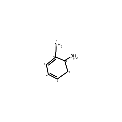 BC1CC=CC=C1N